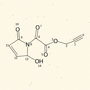 C#CCOC(=O)C(=O)N1C(=O)C=CC1O